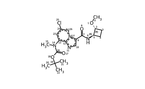 CO[C@@H]1CC[C@H]1NC(=O)c1cnc2c(N(C)C(=O)OC(C)(C)C)cc(Cl)nn12